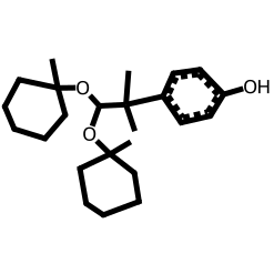 CC1(OC(OC2(C)CCCCC2)C(C)(C)c2ccc(O)cc2)CCCCC1